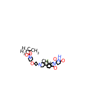 CC(C)(C)OC(=O)N1CCC(O[C@H]2C[C@H](N3CCC(c4ccc5c(c4F)CN(C4CCC(=O)NC4=O)C5=O)C(C)(C)C3)C2)CC1